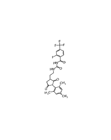 Cc1cc(C)c(C2C(=O)CC(CCNC(=O)NC(=O)c3ccc(C(F)(F)F)cc3F)C2=O)c(C)c1